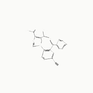 C#Cc1ccc2c(c1)C(c1ccccc1)=NC(C)c1c(C(N)=O)ncn1-2